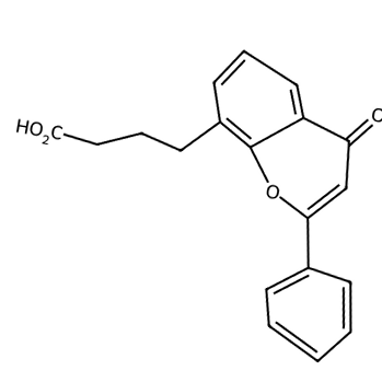 O=C(O)CCCc1cccc2c(=O)cc(-c3ccccc3)oc12